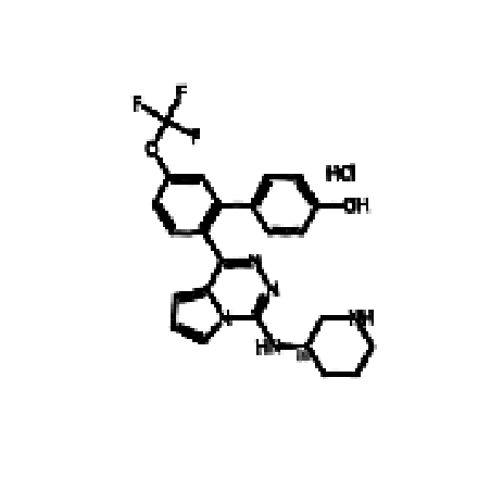 Cl.Oc1ccc(-c2cc(OC(F)(F)F)ccc2-c2nnc(N[C@@H]3CCCNC3)n3cccc23)cc1